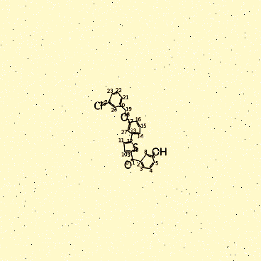 O=C(c1cccc(O)c1)c1ccc(-c2cccc(OCc3cccc(Cl)c3)c2)s1